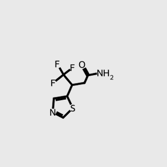 NC(=O)CC(c1cncs1)C(F)(F)F